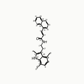 Cc1[nH]c2c(F)ccc(C)c2c1CCNC(=O)/C=C/c1cccc2ccccc12